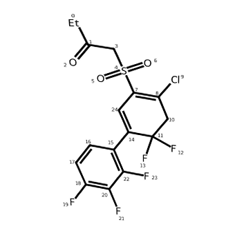 CCC(=O)CS(=O)(=O)C1=C(Cl)CC(F)(F)C(c2ccc(F)c(F)c2F)=C1